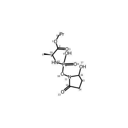 CC(C)OC(=O)[C@H](C)NP(=O)(O)ON1C(=O)CCC1O